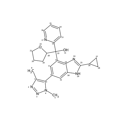 Cc1nnn(C)c1-c1cc(C(O)(c2ccccn2)C2CCCO2)c2nc(C3CC3)[nH]c2c1